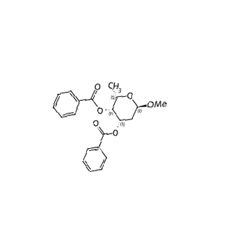 CO[C@H]1C[C@H](OC(=O)c2ccccc2)[C@H](OC(=O)c2ccccc2)[C@H](C)O1